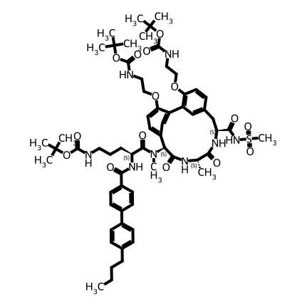 CCCCc1ccc(-c2ccc(C(=O)N[C@@H](CCCNC(=O)OC(C)(C)C)C(=O)N(C)[C@@H]3C(=O)N[C@@H](C)C(=O)N[C@H](C(=O)NS(C)(=O)=O)Cc4ccc(OCCNC(=O)OC(C)(C)C)c(c4)-c4cc3ccc4OCCNC(=O)OC(C)(C)C)cc2)cc1